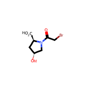 O=C(O)[C@@H]1C[C@@H](O)CN1C(=O)CBr